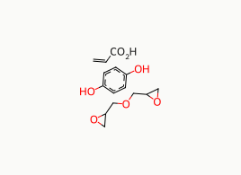 C(OCC1CO1)C1CO1.C=CC(=O)O.Oc1ccc(O)cc1